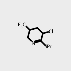 CC(C)C1=NCC(C(F)(F)F)CC1Cl